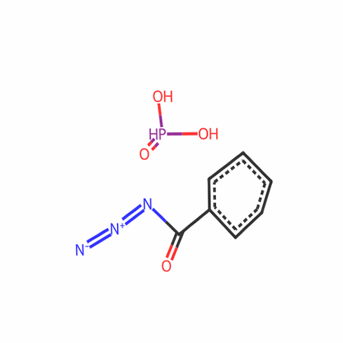 O=[PH](O)O.[N-]=[N+]=NC(=O)c1ccccc1